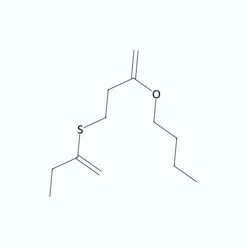 C=C(CCSC(=C)CC)OCCCC